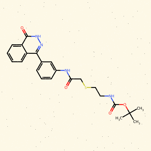 CC(C)(C)OC(=O)NCCSCC(=O)Nc1cccc(-c2n[nH]c(=O)c3ccccc23)c1